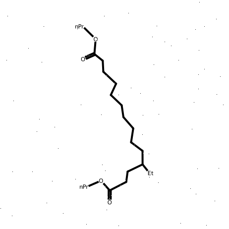 CCCOC(=O)CCCCCCCCCC(CC)CCC(=O)OCCC